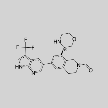 O=CN1CCc2cc(-c3cnc4[nH]cc(C(F)(F)F)c4c3)cc([C@@H]3COCCN3)c2C1